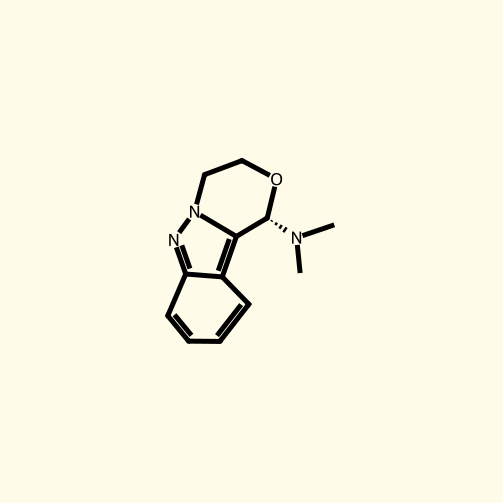 CN(C)[C@H]1OCCn2nc3ccccc3c21